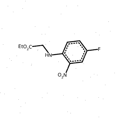 CCOC(=O)CNc1ccc(F)cc1[N+](=O)[O-]